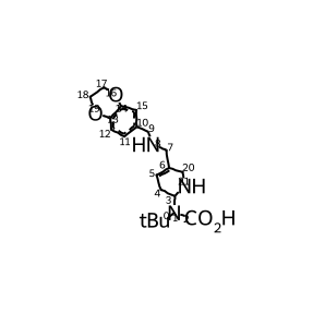 CC(C)(C)N(C(=O)O)C1CC=C(CNCc2ccc3c(c2)OCCO3)CN1